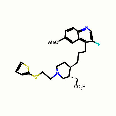 COc1ccc2ncc(F)c(CCC[C@@H]3CCN(CCSc4cccs4)C[C@H]3CC(=O)O)c2c1